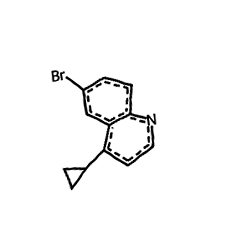 Brc1ccc2nccc(C3CC3)c2c1